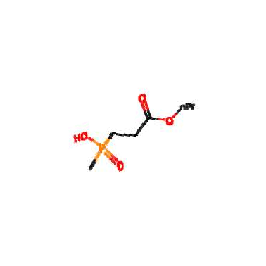 CCCOC(=O)CCP(C)(=O)O